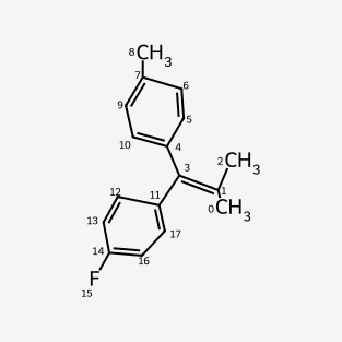 CC(C)=C(c1ccc(C)cc1)c1ccc(F)cc1